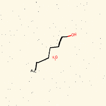 CC(=O)CCCCCO.O